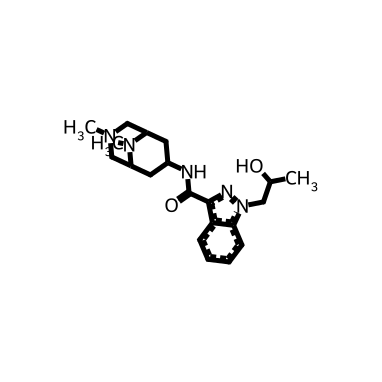 CC(O)Cn1nc(C(=O)NC2CC3CN(C)CC(C2)N3C)c2ccccc21